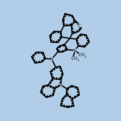 C[Si]1(C)c2ccccc2C2(c3ccccc3-c3cccc4cccc2c34)c2ccc(N(c3ccccc3)c3ccc4c(c3)c3ccccc3n4-c3cccc4ccccc34)cc21